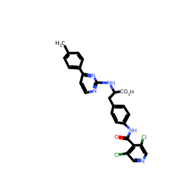 Cc1ccc(-c2ccnc(NC(Cc3ccc(NC(=O)c4c(Cl)cncc4Cl)cc3)C(=O)O)n2)cc1